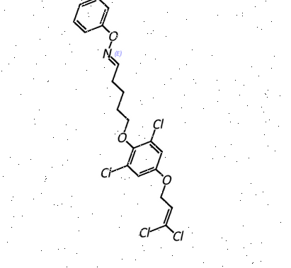 ClC(Cl)=CCOc1cc(Cl)c(OCCCC/C=N/Oc2ccccc2)c(Cl)c1